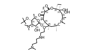 CC[C@H]1OC(=O)[C@@](C)(F)C(=O)[C@H](C)[C@@H](O[C@@H]2O[C@H](C)[C@@H](OC(C)(C)C)[C@H](N(C)C)[C@H]2O)[C@](C)(OCCNCCCN(C)C)C[C@@H](C)CN(C)[C@H](C)[C@@H](O)[C@]1(C)O